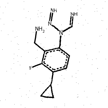 N=CN(N=N)c1ccc(C2CC2)c(F)c1CN